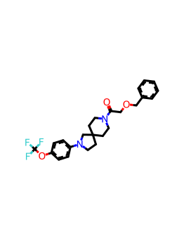 O=C(COCc1ccccc1)N1CCC2(CC1)CCN(c1ccc(OC(F)(F)F)cc1)C2